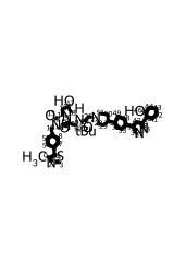 Cc1ncsc1-c1ccc(CNC(=O)[C@@H]2C[C@@H](O)CN2C(=O)C(NC(=O)CN2CCC(c3ccc(-c4cnnc(-c5ccccc5O)c4)cc3)CC2)C(C)(C)C)cc1